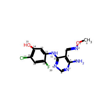 CO/N=C/c1c(N)ncnc1Nc1cc(O)c(Cl)cc1F